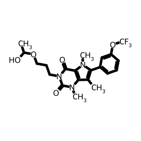 Cc1c(-c2cccc(OC(F)(F)F)c2)n(C)c2c(=O)n(CCCOC(C)O)c(=O)n(C)c12